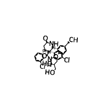 C#Cc1ccc(OCC(O)CO)c([C@H]2NC(=O)C[C@@H](c3cccc(Cl)c3)[C@]23C(=O)Nc2cc(Cl)ccc23)c1